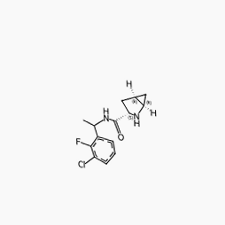 CC(NC(=O)[C@@H]1C[C@H]2C[C@H]2N1)c1cccc(Cl)c1F